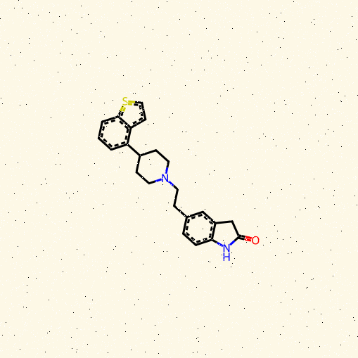 O=C1Cc2cc(CCN3CCC(c4cccc5sccc45)CC3)ccc2N1